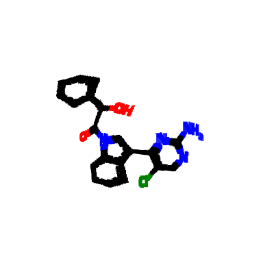 Nc1ncc(Cl)c(-c2cn(C(=O)C(O)c3ccccc3)c3ccccc23)n1